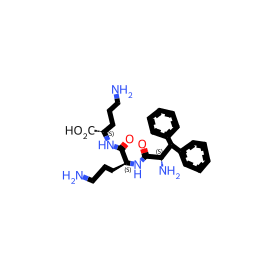 NCCC[C@H](NC(=O)[C@H](CCCN)NC(=O)[C@@H](N)C(c1ccccc1)c1ccccc1)C(=O)O